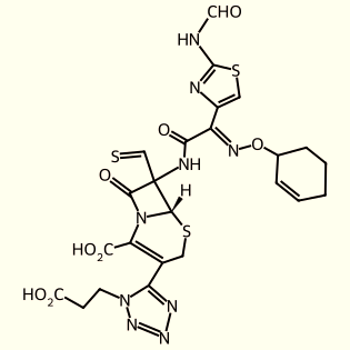 O=CNc1nc(C(=NOC2C=CCCC2)C(=O)NC2(C=S)C(=O)N3C(C(=O)O)=C(c4nnnn4CCC(=O)O)CS[C@H]32)cs1